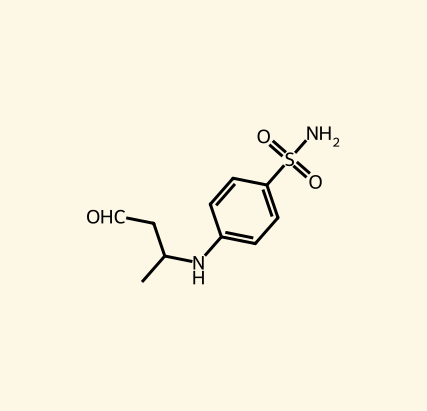 CC(CC=O)Nc1ccc(S(N)(=O)=O)cc1